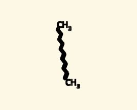 CC=CC=CC=CCCCCCC